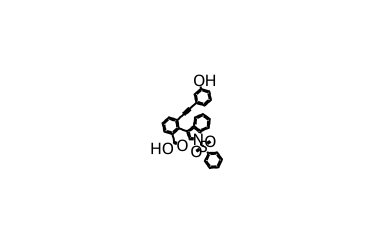 O=C(O)c1cccc(C#Cc2cccc(O)c2)c1-c1cn(S(=O)(=O)c2ccccc2)c2ccccc12